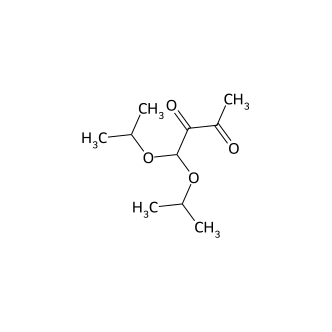 CC(=O)C(=O)C(OC(C)C)OC(C)C